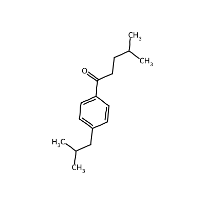 CC(C)CCC(=O)c1ccc(CC(C)C)cc1